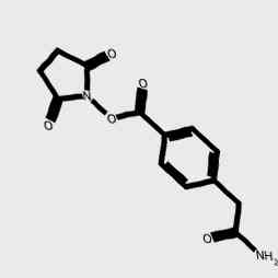 NC(=O)Cc1ccc(C(=O)ON2C(=O)CCC2=O)cc1